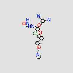 Cc1c(OCCCN2CCCC[C@H]2C)cccc1-c1cccc2c1CC[C@@H]2Oc1cc(OCc2cc(C#N)cc(C#N)c2)c(CNC[C@H]2CCC(=O)N2)cc1Cl